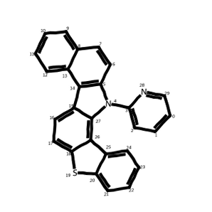 c1ccc(-n2c3ccc4ccccc4c3c3ccc4sc5ccccc5c4c32)nc1